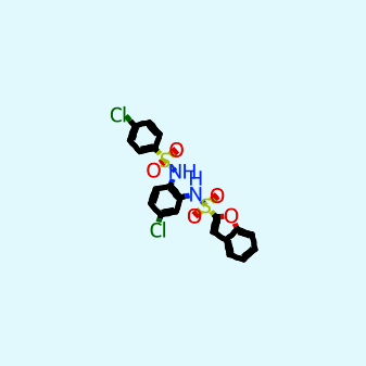 O=S(=O)(Nc1ccc(Cl)cc1NS(=O)(=O)c1cc2ccccc2o1)c1ccc(Cl)cc1